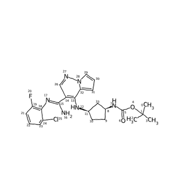 CC(C)(C)OC(=O)N[C@H]1CC[C@@H](Nc2c(/C(N)=N/c3c(F)cccc3Cl)cnn3cccc23)C1